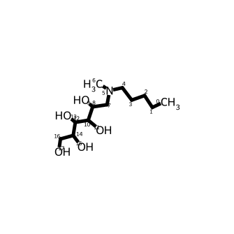 CCCCCN(C)CC(O)C(O)C(O)C(O)CO